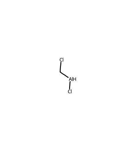 Cl[CH2][AlH][Cl]